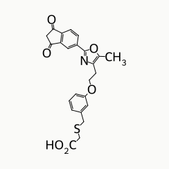 Cc1oc(-c2ccc3c(c2)C(=O)CC3=O)nc1CCOc1cccc(CSCC(=O)O)c1